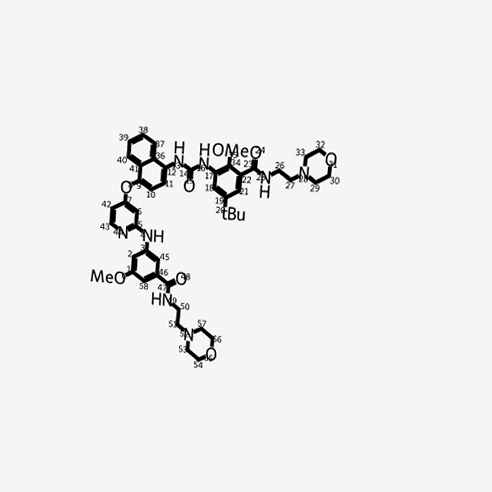 COc1cc(Nc2cc(Oc3ccc(NC(=O)Nc4cc(C(C)(C)C)cc(C(=O)NCCN5CCOCC5)c4OC)c4ccccc34)ccn2)cc(C(=O)NCCN2CCOCC2)c1